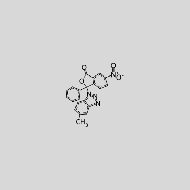 Cc1ccc2c(c1)nnn2C1(c2ccccc2)OC(=O)c2cc([N+](=O)[O-])ccc21